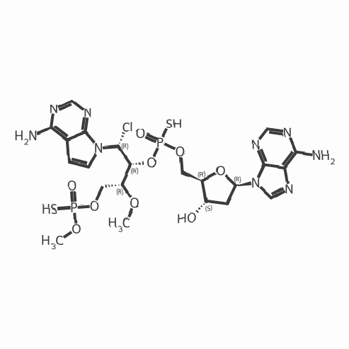 CO[C@H](COP(=O)(S)OC)[C@@H](OP(=O)(S)OC[C@H]1O[C@@H](n2cnc3c(N)ncnc32)C[C@@H]1O)[C@@H](Cl)n1ccc2c(N)ncnc21